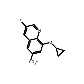 O=C(O)c1cc(OC2CC2)c2ncc(F)cc2c1